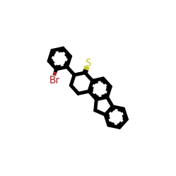 S=C1c2ccc3c(c2CCC1c1ccccc1Br)Cc1ccccc1-3